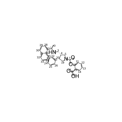 C[C@@H](NC[C@@H]1CN(C(=O)Oc2ccccc2C(=O)O)C[C@@H]1c1ccccc1)c1cccc2ccccc12